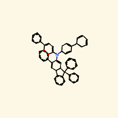 C1=CCC(C2=CCC(N(C3=CC=C(c4ccccc4)CC3)C3=CC4C(C=C3c3ccccc3)c3ccccc3C4(c3ccccc3)c3ccccc3)C=C2)C=C1